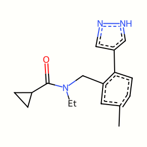 CCN(Cc1cc(C)ccc1-c1cn[nH]c1)C(=O)C1CC1